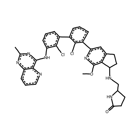 COc1nc(-c2cccc(-c3cccc(Nc4nc(C)nc5cccnc45)c3Cl)c2Cl)cc2c1C(NCC1CCC(=O)N1)CC2